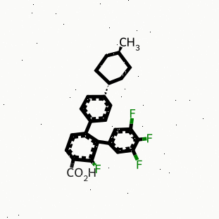 C[C@H]1CC[C@H](c2ccc(-c3ccc(C(=O)O)c(F)c3-c3cc(F)c(F)c(F)c3)cc2)CC1